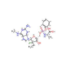 C=C[C@@]1(F)[C@H](O)[C@@H](CO[P@@](=O)(N[C@@H](C)C(=O)O)Oc2ccccc2)O[C@H]1n1cnc2c(NC)nc(N)nc21